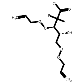 C=CCOOC[C@@H](O)[C@@H](OOCC=C)C(F)(F)C(=O)Cl